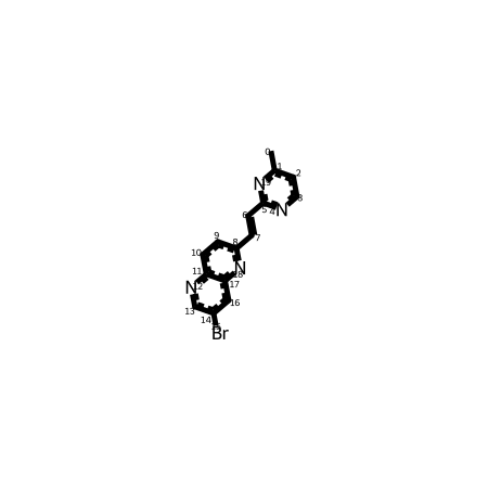 Cc1ccnc(/C=C/c2ccc3ncc(Br)cc3n2)n1